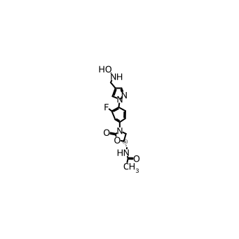 CC(=O)NC[C@H]1CN(c2ccc(-n3cc(CNO)cn3)c(F)c2)C(=O)O1